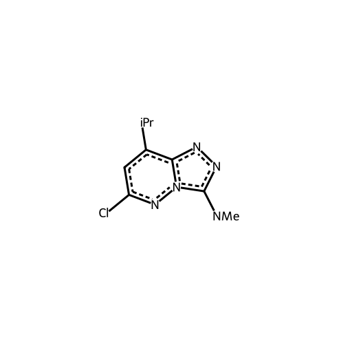 CNc1nnc2c(C(C)C)cc(Cl)nn12